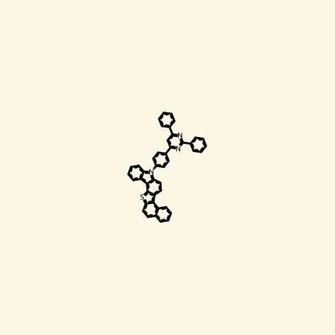 c1ccc(-c2cc(-c3ccc(-n4c5ccccc5c5c6sc7ccc8ccccc8c7c6ccc54)cc3)nc(-c3ccccc3)n2)cc1